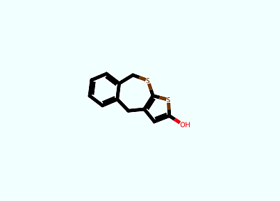 Oc1cc2c(s1)SCc1ccccc1C2